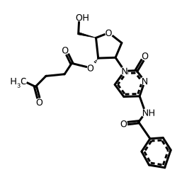 CC(=O)CCC(=O)O[C@H]1C(n2ccc(NC(=O)c3ccccc3)nc2=O)CO[C@@H]1CO